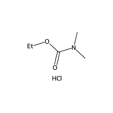 CCOC(=O)N(C)C.Cl